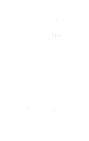 CONCc1ccc(C(=O)OC)cc1